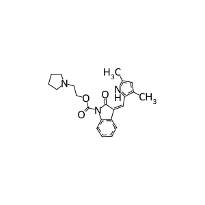 Cc1cc(C)c(/C=C2\C(=O)N(C(=O)OCCN3CCCC3)c3ccccc32)[nH]1